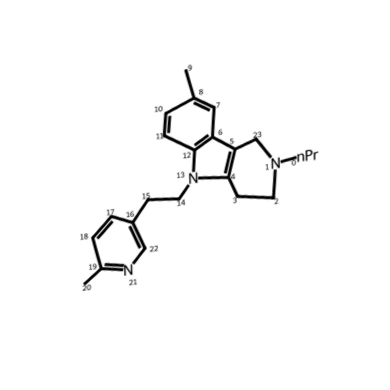 CCCN1CCc2c(c3cc(C)ccc3n2CCc2ccc(C)nc2)C1